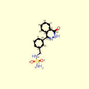 NS(=O)(=O)NCc1cccc(-c2n[nH]c(=O)c3ccccc23)c1